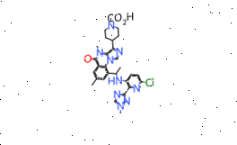 Cc1cc(C(C)Nc2ccc(Cl)nc2-c2ncn(C)n2)c2c(c1)c(=O)n(C)c1c(C3CCN(C(=O)O)CC3)ncn21